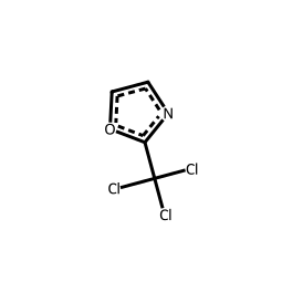 ClC(Cl)(Cl)c1ncco1